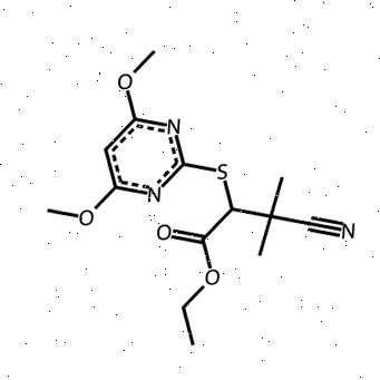 CCOC(=O)C(Sc1nc(OC)cc(OC)n1)C(C)(C)C#N